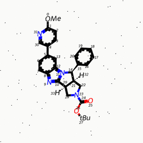 COc1ccc(-c2ccc3nc4n(c3c2)[C@@H](c2ccccc2)[C@H]2CN(C(=O)OC(C)(C)C)C[C@@H]42)cn1